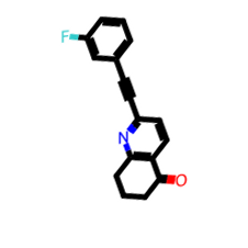 O=C1CCCc2nc(C#Cc3cccc(F)c3)ccc21